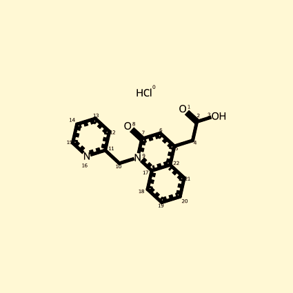 Cl.O=C(O)Cc1cc(=O)n(Cc2ccccn2)c2ccccc12